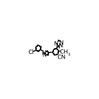 Cc1c(C#N)cc(-c2cnn(-c3cccc(Cl)c3)c2)cc1-n1ncnn1